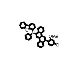 COc1cc(Cl)ccc1-c1cc2c3ccccc3c(N(c3ccccc3)c3cccc4c3oc3ccccc34)cc2c2ccccc12